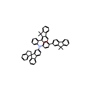 CC1(C)c2ccccc2-c2ccc(-c3ccc(N(c4ccc5c(c4)C4(CCc6ccccc64)c4ccccc4-5)c4ccccc4-c4cccc5c4C(C)(C)c4ccccc4-5)cc3)cc21